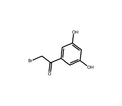 O=C(CBr)c1cc(O)cc(O)c1